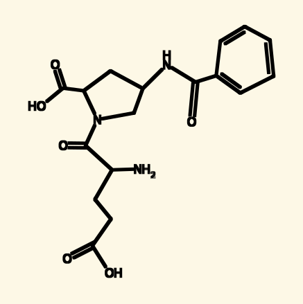 NC(CCC(=O)O)C(=O)N1CC(NC(=O)c2ccccc2)CC1C(=O)O